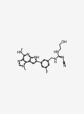 CNc1nc2[nH]c(-c3cc(F)cc(CN/C(=N\C#N)NCCO)c3)cc2c2c1ncn2C